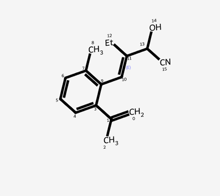 C=C(C)c1cccc(C)c1/C=C(\CC)C(O)C#N